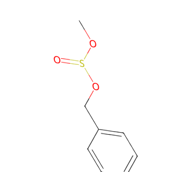 COS(=O)OCc1ccccc1